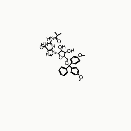 COc1ccc(C(OC[C@H]2O[C@@H](n3cnc4c(=O)[nH]c(NC(=O)C(C)C)nc43)[C@@H](O)[C@H]2O)(c2ccccc2)c2ccc(OC)cc2)cc1